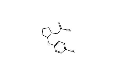 NC(=O)CN1CCCC1Oc1ccc(N)cc1